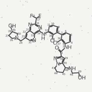 O=C(Nc1cccc(-c2cccc(Nc3nc(C(F)F)nc4cc(CN5CC[C@@H](O)C5)cnc34)c2Cl)c1Cl)c1cc2n(n1)CCCC2NCCO